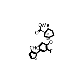 COC(=O)[C@H]1CCC[C@H](Oc2ccc(-c3sccc3C=O)cc2F)C1